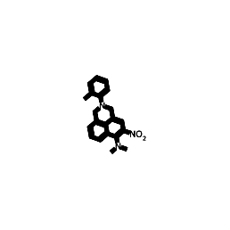 Cc1ccccc1N1Cc2cccc3c(N(C)C)c([N+](=O)[O-])cc(c23)C1